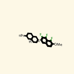 CCCC1CCC2C[C@H](c3cc4ccc(OC)c(F)c4c(F)c3F)CC[C@@H]2C1